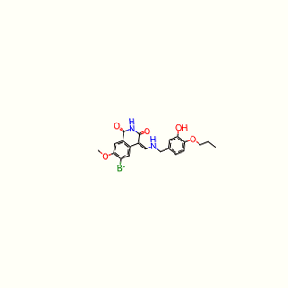 CCCOc1ccc(CN/C=C2\C(=O)NC(=O)c3cc(OC)c(Br)cc32)cc1O